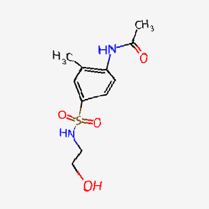 CC(=O)Nc1ccc(S(=O)(=O)NCCO)cc1C